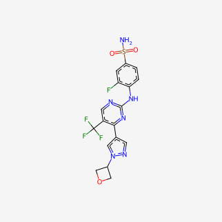 NS(=O)(=O)c1ccc(Nc2ncc(C(F)(F)F)c(-c3cnn(C4COC4)c3)n2)c(F)c1